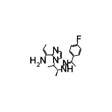 C/C=C(/N)c1nccn1C(C)[C@H](C)N/N=C(\C)c1ccc(F)cc1